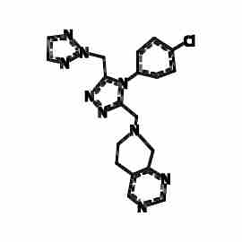 Clc1ccc(-n2c(CN3CCc4cncnc4C3)nnc2Cn2nccn2)cc1